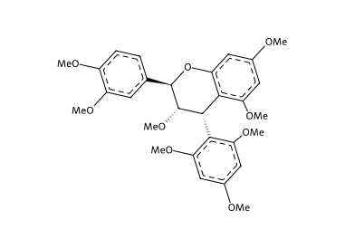 COc1cc(OC)c([C@H]2c3c(OC)cc(OC)cc3O[C@H](c3ccc(OC)c(OC)c3)[C@H]2OC)c(OC)c1